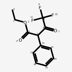 CCOC(=O)C(C(=O)C(F)(F)F)c1ccccc1